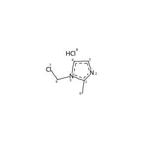 Cc1nccn1CCl.Cl